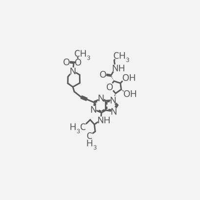 CCNC(=O)[C@H]1O[C@@H](n2cnc3c(NC(CC)CC)nc(C#CCC4CCN(C(=O)OC)CC4)nc32)[C@@H](O)C1O